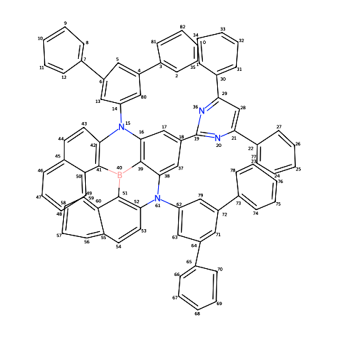 c1ccc(-c2cc(-c3ccccc3)cc(N3c4cc(-c5nc(-c6ccccc6)cc(-c6ccccc6)n5)cc5c4B(c4c3ccc3ccccc43)c3c(ccc4ccccc34)N5c3cc(-c4ccccc4)cc(-c4ccccc4)c3)c2)cc1